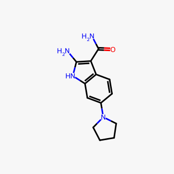 NC(=O)c1c(N)[nH]c2cc(N3CCCC3)ccc12